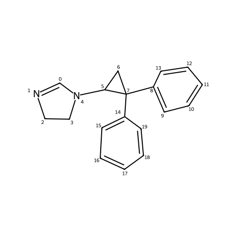 C1=NCCN1C1CC1(c1ccccc1)c1ccccc1